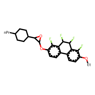 CCCC1CCC(C2OC2Oc2ccc3c(c2F)C(F)C(F)c2c-3ccc(OCC)c2F)CC1